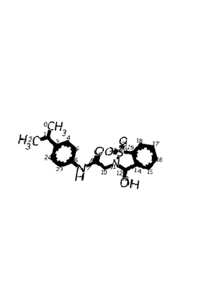 CC(C)c1ccc(NC(=O)CN2C(O)c3ccccc3S2(=O)=O)cc1